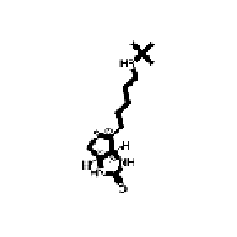 CC(C)(C)BCCCCC[C@@H]1SC[C@@H]2NC(=O)N[C@@H]21